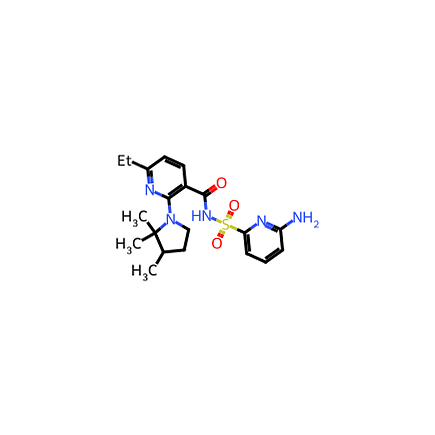 CCc1ccc(C(=O)NS(=O)(=O)c2cccc(N)n2)c(N2CCC(C)C2(C)C)n1